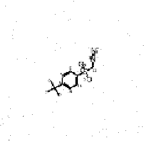 CC(C)(C)c1ccc(S(=O)(=O)C=[N+]=[N-])cc1